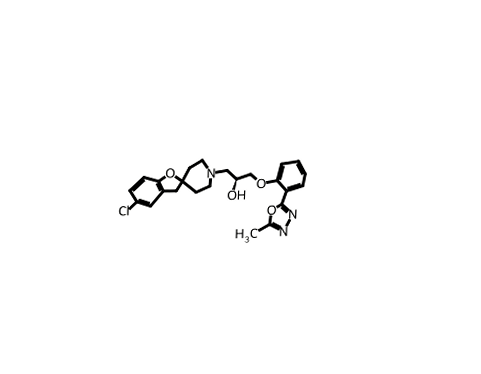 Cc1nnc(-c2ccccc2OC[C@@H](O)CN2CCC3(CC2)Cc2cc(Cl)ccc2O3)o1